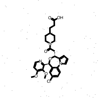 COc1ccnc([C@H]2O[C@H](CC(=O)N3CCC(CCC(=O)O)CC3)c3cccn3-c3ccc(Cl)cc32)c1OC